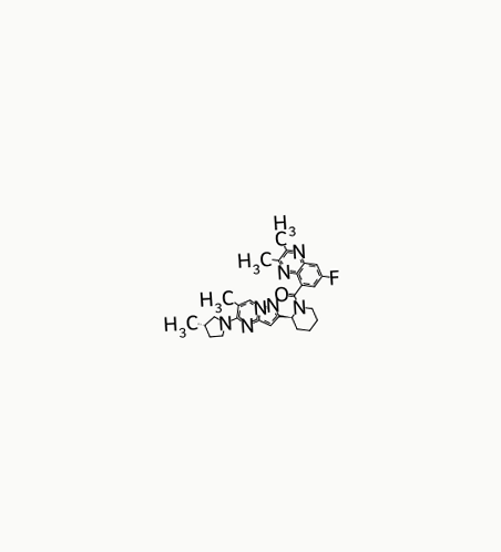 Cc1cn2nc([C@@H]3CCCCN3C(=O)c3cc(F)cc4nc(C)c(C)nc34)cc2nc1N1CC[C@H](C)C1